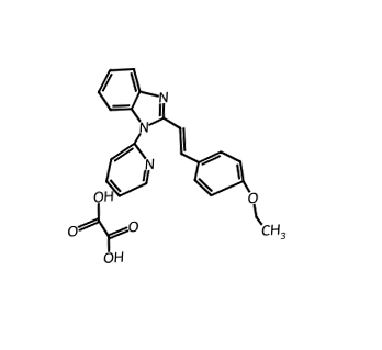 CCOc1ccc(C=Cc2nc3ccccc3n2-c2ccccn2)cc1.O=C(O)C(=O)O